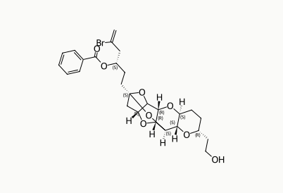 C=C(Br)C[C@H](CC[C@@]12C[C@H]3O[C@H]4[C@@H](O1)[C@H]1O[C@@H](CCO)CC[C@@H]1O[C@H]4C3O2)OC(=O)c1ccccc1